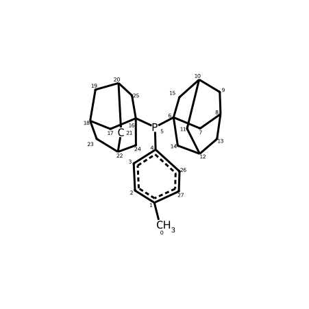 Cc1ccc(P(C23CC4CC(CC(C4)C2)C3)C23CC4CC(CC(C4)C2)C3)cc1